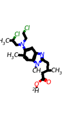 [2H]OC(=O)CC(C)Cc1nc2cc(N(CCCl)CC(C)Cl)c(C)cc2n1C